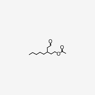 CCCCCC(CC=O)CCOC(C)=O